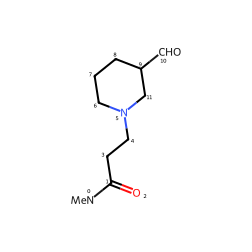 CNC(=O)CCN1CCCC(C=O)C1